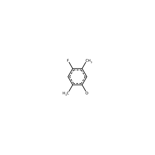 Cc1cc(F)c(C)cc1[O]